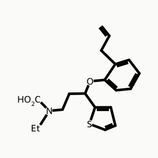 C=CCc1ccccc1OC(CCN(CC)C(=O)O)c1cccs1